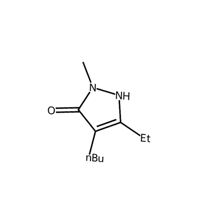 CCCCc1c(CC)[nH]n(C)c1=O